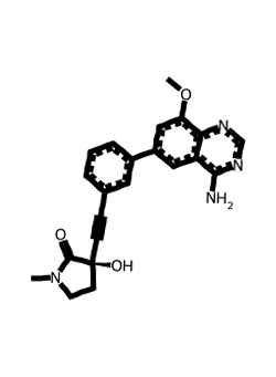 COc1cc(-c2cccc(C#C[C@]3(O)CCN(C)C3=O)c2)cc2c(N)ncnc12